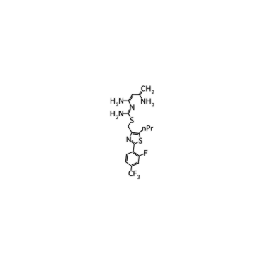 C=C(N)/C=C(N)\N=C(/N)SCc1nc(-c2ccc(C(F)(F)F)cc2F)sc1CCC